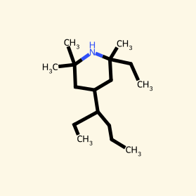 CCCC(CC)C1CC(C)(C)NC(C)(CC)C1